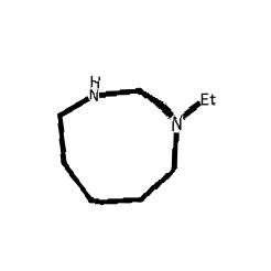 [CH2]CN1CCCCCNC1